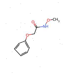 CONC(=O)COc1ccccc1